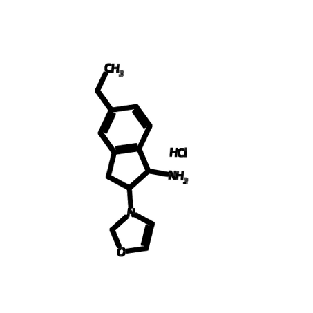 CCc1ccc2c(c1)CC(N1C=COC1)C2N.Cl